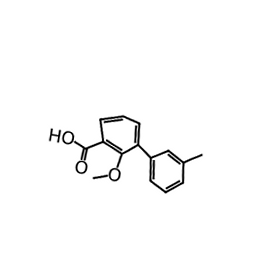 COc1c(C(=O)O)cccc1-c1cccc(C)c1